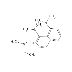 CCN(C)C.CN(C)c1cccc2cccc(N(C)C)c12